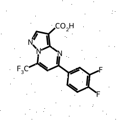 O=C(O)c1cnn2c(C(F)(F)F)cc(-c3ccc(F)c(F)c3)nc12